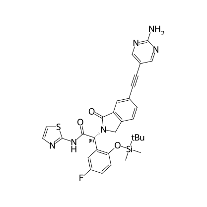 CC(C)(C)[Si](C)(C)Oc1ccc(F)cc1[C@H](C(=O)Nc1nccs1)N1Cc2ccc(C#Cc3cnc(N)nc3)cc2C1=O